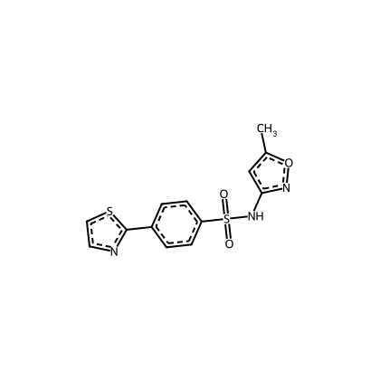 Cc1cc(NS(=O)(=O)c2ccc(-c3nccs3)cc2)no1